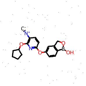 [C-]#[N+]c1ccc(Oc2ccc3c(c2)COB3O)nc1OC1CCCC1